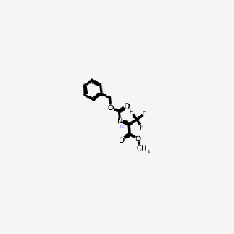 COC(=O)/C(=N/C(=O)OCc1ccccc1)C(F)(F)F